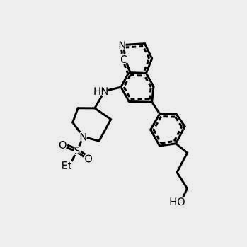 CCS(=O)(=O)N1CCC(Nc2cc(-c3ccc(CCCO)cc3)cc3ccncc23)CC1